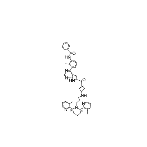 Cc1cccnc1[C@H]1CCC[C@@H](c2ncccc2C)N1CCCNC1CN(C(=O)c2cc3c(-c4cccc(NC(=O)c5ccccc5)c4C)ncnc3[nH]2)C1